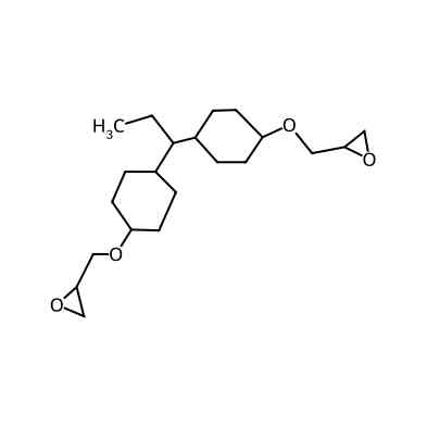 CCC(C1CCC(OCC2CO2)CC1)C1CCC(OCC2CO2)CC1